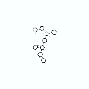 c1ccc(-c2cc(-c3cccc(-c4cccnc4)c3)nc(-c3ccc(-c4ccc(-c5ccc6sc7ccccc7c6c5)c5c4oc4ccccc45)cc3)n2)cc1